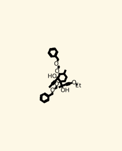 CC#CC1(O)C(OCOCc2ccccc2)C(C)CC[C@]1(OCOCc1ccccc1)C(C)(O)C#COCC